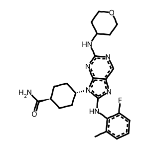 Cc1cccc(F)c1Nc1nc2cnc(NC3CCOCC3)nc2n1[C@H]1CC[C@H](C(N)=O)CC1